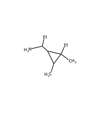 CCC(N)C1C(C)C1(C)CC